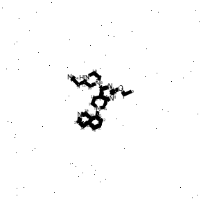 CCOc1nc2c(c(N3CCNC(CC#N)C3)n1)CCN(c1cccc3ccncc13)C2